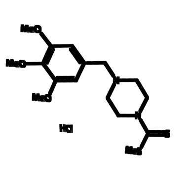 COc1cc(CN2CCN(C(=S)SC)CC2)cc(OC)c1OC.Cl